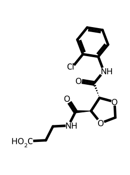 O=C(O)CCNC(=O)[C@@H]1OCO[C@H]1C(=O)Nc1ccccc1Cl